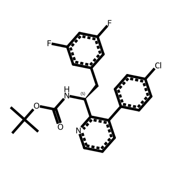 CC(C)(C)OC(=O)N[C@@H](Cc1cc(F)cc(F)c1)c1ncccc1-c1ccc(Cl)cc1